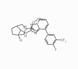 CC(C)(C)OC(=O)N1CC2CC[C@@H](C1)[C@@H]2Nc1nc2c(-c3ccc(F)c(C(F)(F)F)c3)cccn2n1